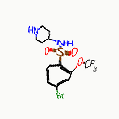 O=S(=O)(NC1CCNCC1)c1ccc(Br)cc1OC(F)(F)F